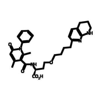 Cc1cc(=O)n(-c2ccccc2)c(C)c1C(=O)N[C@@H](CCOCCCCc1ccc2c(n1)NCCC2)C(=O)O